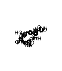 CNC(=O)COc1cc2cc(Nc3nc(N4CCN(CC5CCN(c6cccc7c(C8CCC(=O)NC8=O)nn(C)c67)CC5)C[C@H]4CO)ncc3Cl)cnc2n(C(C)C)c1=O